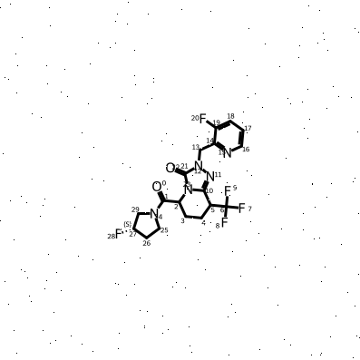 O=C(C1CCC(C(F)(F)F)c2nn(Cc3ncccc3F)c(=O)n21)N1CC[C@H](F)C1